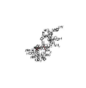 COCC[C@@H](C(=O)N1C[C@@H](O)C[C@@H]1C(=O)N[C@@H](CC(=O)O)C(=O)N[C@H](C(=O)N(C)[C@@H](C=O)Cc1ccccc1)C(C)C)N(C)C(=O)[C@H](Cc1ccccc1)N(C)C(=O)[C@H](Cc1ccc(F)c(F)c1)NC(=O)CSC[C@H](NC(=O)[C@H](CCCN)NC(=O)[C@H](Cc1ccc(O)cc1)NC(=O)[C@H](Cc1c[nH]c2ccccc12)NC(=O)[C@H]1C[C@H](O)CN1C(=O)[C@@H](N)Cc1ccc(O)cc1)C(=O)NCC(N)=O